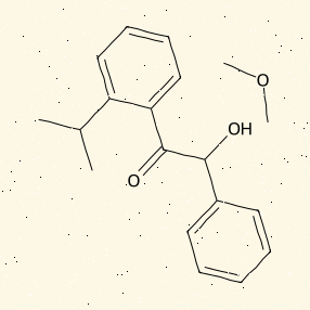 CC(C)c1ccccc1C(=O)C(O)c1ccccc1.COC